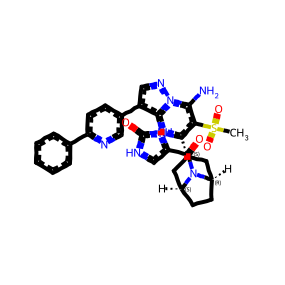 CS(=O)(=O)c1c([C@@H]2C[C@H]3CC[C@@H](C2)N3C(=O)c2c[nH]c(=O)[nH]2)nc2c(-c3ccc(-c4ccccc4)nc3)cnn2c1N